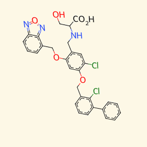 O=C(O)C(CO)NCc1cc(Cl)c(OCc2cccc(-c3ccccc3)c2Cl)cc1OCc1cccc2nonc12